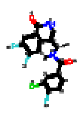 C[C@@H](c1c[nH]c(=O)c2cc(F)c(F)cc12)N(C)C(=O)c1ccc(F)c(Cl)c1